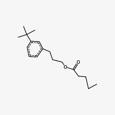 CCCCC(=O)OCCCc1cccc(C(C)(C)C)c1